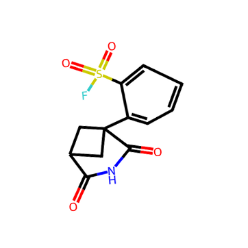 O=C1NC(=O)C2(c3ccccc3S(=O)(=O)F)CC1C2